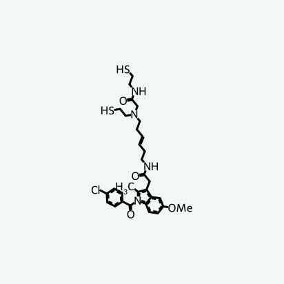 COc1ccc2c(c1)c(CC(=O)NCC/C=C/CCN(CCS)CC(=O)NCCS)c(C)n2C(=O)c1ccc(Cl)cc1